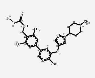 Cc1cc(-c2cnc(N)c(Oc3cnn(C4CCN(C)CC4)c3)n2)cc(C)c1CNC(=O)OC(C)(C)C